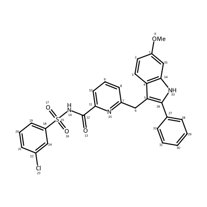 COc1ccc2c(Cc3cccc(C(=O)NS(=O)(=O)c4cccc(Cl)c4)n3)c(-c3ccccc3)[nH]c2c1